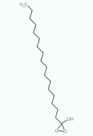 CCCCCCCCCCCCCCCCCC1(O)OO1